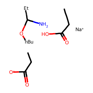 CCC(=O)O.CCC(=O)[O-].CCCCOC(N)CC.[Na+]